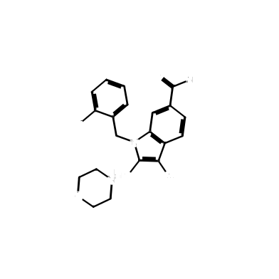 C1COCCN1.CCCc1c(C(C)=O)c2ccc(C(N)=O)cc2n1Cc1ccccc1Cl